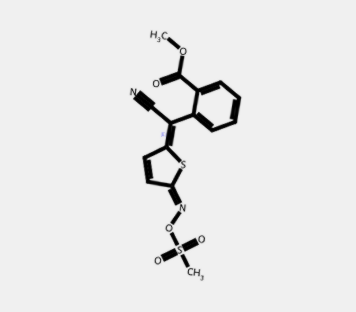 COC(=O)c1ccccc1/C(C#N)=C1/C=CC(=NOS(C)(=O)=O)S1